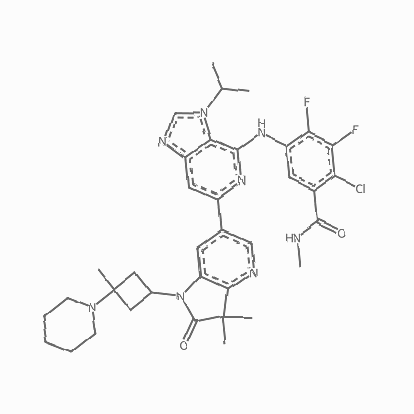 CNC(=O)c1cc(Nc2nc(-c3cnc4c(c3)N(C3CC(C)(N5CCCCC5)C3)C(=O)C4(C)C)cc3ncn(C(C)C)c23)c(F)c(F)c1Cl